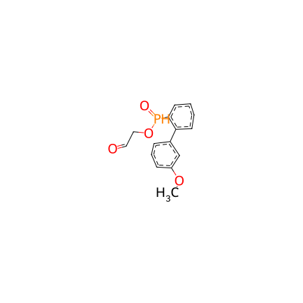 COc1cccc(-c2ccccc2[PH](=O)OCC=O)c1